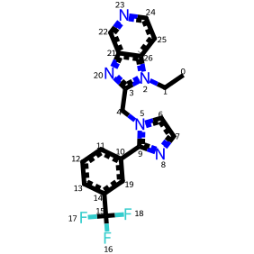 CCn1c(Cn2ccnc2-c2cccc(C(F)(F)F)c2)nc2cnccc21